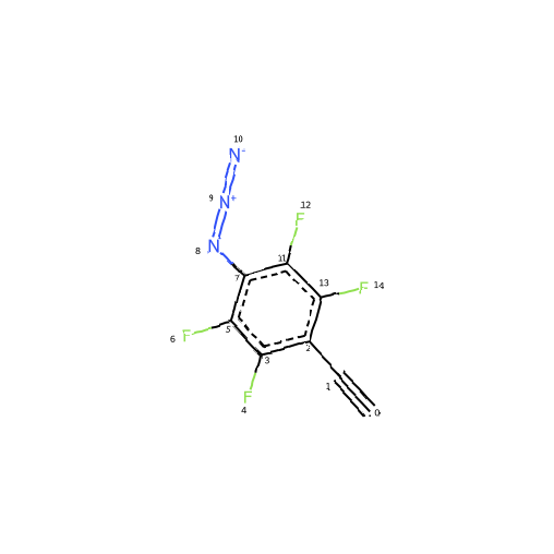 [C]#Cc1c(F)c(F)c(N=[N+]=[N-])c(F)c1F